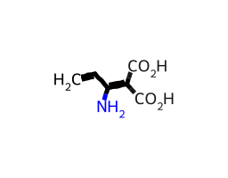 C=CC(N)=C(C(=O)O)C(=O)O